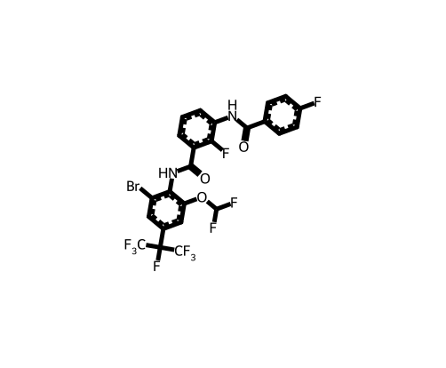 O=C(Nc1cccc(C(=O)Nc2c(Br)cc(C(F)(C(F)(F)F)C(F)(F)F)cc2OC(F)F)c1F)c1ccc(F)cc1